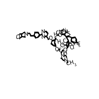 Cc1c(Cl)c2c(Cl)c(C)c1-c1c(-c3ccc(F)cc3)sc3ncnc(c13)O[C@@H](C(=O)O)Cc1cc(ccc1OCc1ccnc(-c3ccc(CCN4CC5COCC5C4)cc3)n1)OC[C@@H](CN1CCN(C)CC1)O2